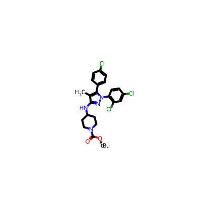 Cc1c(NC2CCN(C(=O)OC(C)(C)C)CC2)nn(-c2ccc(Cl)cc2Cl)c1-c1ccc(Cl)cc1